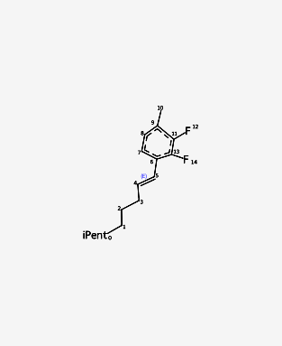 CCCC(C)CCC/C=C/c1ccc(C)c(F)c1F